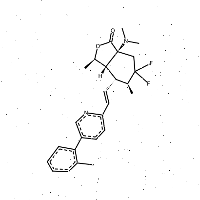 Cc1ccccc1-c1ccc(/C=C/[C@@H]2[C@@H]3[C@@H](C)OC(=O)[C@]3(N(C)C)CC(F)(F)[C@H]2C)nc1